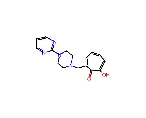 O=c1c(O)ccccc1CN1CCN(c2ncccn2)CC1